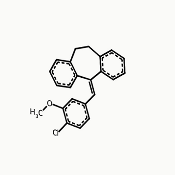 COc1cc(C=C2c3ccccc3CCc3ccccc32)ccc1Cl